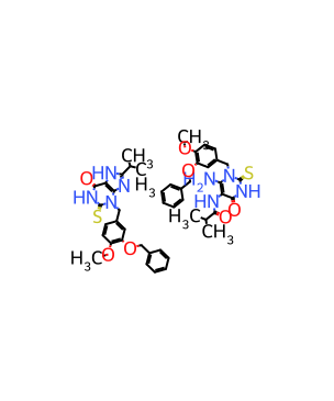 COc1ccc(Cn2c(=S)[nH]c(=O)c3[nH]c(C(C)C)nc32)cc1OCc1ccccc1.COc1ccc(Cn2c(N)c(NC(=O)C(C)C)c(=O)[nH]c2=S)cc1OCc1ccccc1